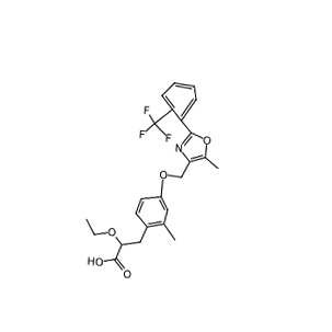 CCOC(Cc1ccc(OCc2nc(-c3ccccc3C(F)(F)F)oc2C)cc1C)C(=O)O